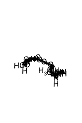 C[C@@H](NC(=O)c1cccc(NC2(c3nnc(-c4ccncc4)[nH]3)CCNCC2)c1)c1cccc(OCCCCCOCCCOCC(=O)N2CCN(c3ccc4c(c3)CN(C3CCC(O)NC3=O)C4=O)CC2)c1